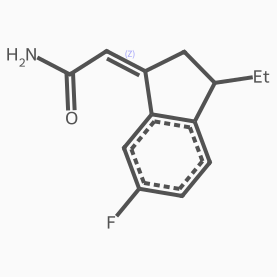 CCC1C/C(=C/C(N)=O)c2cc(F)ccc21